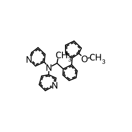 COc1ccccc1-c1ccccc1C(C)N(c1cccnc1)c1cccnc1